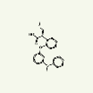 COC=C(C(=O)O)c1ccccc1Oc1cccc(N(C)c2ccccc2)c1